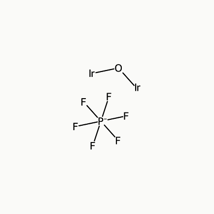 F[P-](F)(F)(F)(F)F.[Ir][O][Ir]